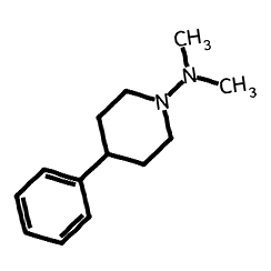 CN(C)N1CCC(c2ccccc2)CC1